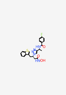 CC(NC(=O)c1ccc(F)cc1)c1cn([C@@H](CC(=O)NO)Cc2csc3ccccc23)nn1